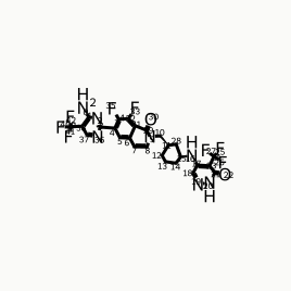 Nc1nc(-c2cc3ccn(C[C@@H]4CCC[C@H](Nc5cn[nH]c(=O)c5C(F)(F)F)C4)c(=O)c3c(F)c2F)ncc1C(F)(F)F